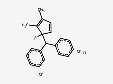 CC1=C(C)[C]([Ti+3])(C(c2ccccc2)c2ccccc2)C=C1.[Cl-].[Cl-].[Cl-]